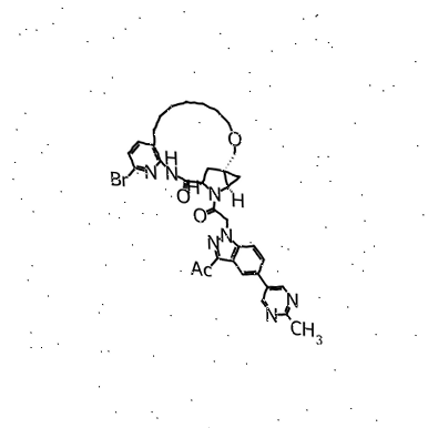 CC(=O)c1nn(CC(=O)N2[C@H]3C[C@@]4(COCCCCCCCc5ccc(Br)nc5NC3=O)C[C@@H]24)c2ccc(-c3cnc(C)nc3)cc12